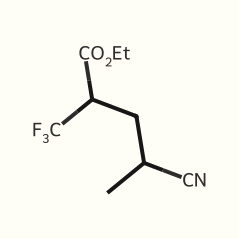 CCOC(=O)C(CC(C)C#N)C(F)(F)F